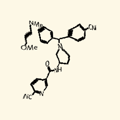 CNCCOC.N#Cc1ccc(C(c2ccccc2)N2CC[C@@H](NC(=O)c3ccc(C#N)nc3)C2)cc1